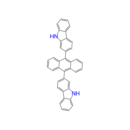 c1ccc2c(c1)[nH]c1cc(-c3c4ccccc4c(-c4ccc5c(c4)[nH]c4ccccc45)c4ccccc34)ccc12